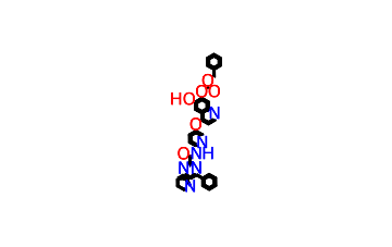 O=C(OCc1ccccc1)Oc1cc2nccc(Oc3ccc(NC(=O)c4nc(-c5ccccc5)c5c(n4)C4CCN5CC4)nc3)c2cc1O